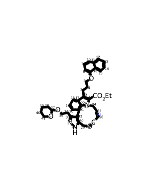 CCOC(=O)c1c(CCCOc2cccc3ccccc23)c2cccc3c2n1C/C=C\COCc1[nH]nc(CCOC2CCCCO2)c1-3